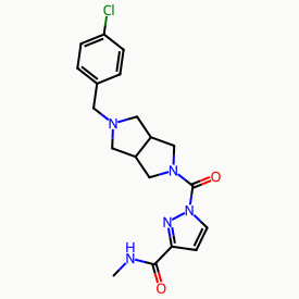 CNC(=O)c1ccn(C(=O)N2CC3CN(Cc4ccc(Cl)cc4)CC3C2)n1